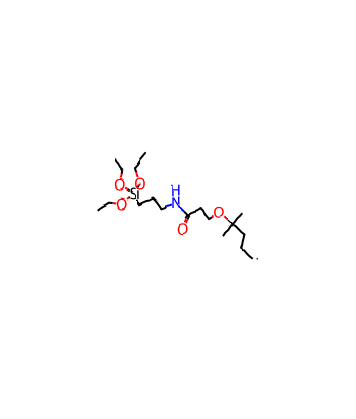 [CH2]CCC(C)(C)OCCC(=O)NCCC[Si](OCC)(OCC)OCC